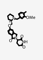 COc1cc(CN2CCCC[C@@H]2COc2ccc3c(c2)CN(C2CCC(=O)NC2=O)C3=O)ccc1C